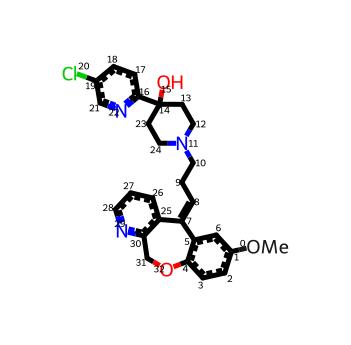 COc1ccc2c(c1)/C(=C/CCN1CCC(O)(c3ccc(Cl)cn3)CC1)c1cccnc1CO2